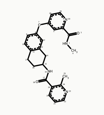 CNC(=O)c1cc(Oc2ccc3c(c2)CC(NC(=O)c2cccnc2C)CC3)ccn1